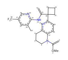 C=C(OC)N1CCCc2nc(C3(C(=C)Nc4ncc(C(F)(F)F)cc4C)CCC3)ccc21